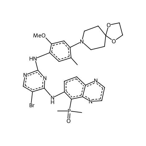 COc1cc(N2CCC3(CC2)OCCO3)c(C)cc1Nc1ncc(Br)c(Nc2ccc3nccnc3c2P(C)(C)=O)n1